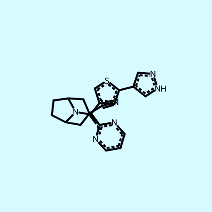 N#CC1(c2ncccn2)CC2CCC(C1)N2C(=O)c1csc(-c2cn[nH]c2)c1